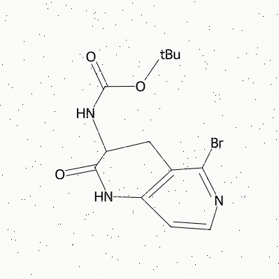 CC(C)(C)OC(=O)NC1Cc2c(ccnc2Br)NC1=O